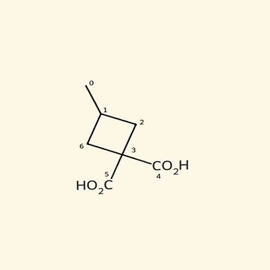 CC1CC(C(=O)O)(C(=O)O)C1